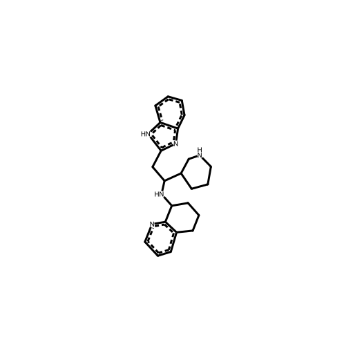 c1cnc2c(c1)CCCC2NC(Cc1nc2ccccc2[nH]1)C1CCCNC1